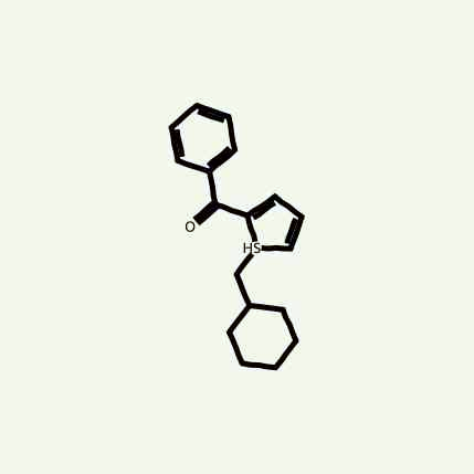 O=C(C1=CC=C[SH]1CC1CCCCC1)c1ccccc1